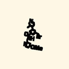 COc1ccnc(CNC(=O)c2cc(CBr)cc(-c3ccncc3C)c2)c1